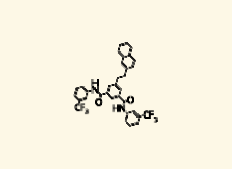 O=C(Nc1cccc(C(F)(F)F)c1)c1cc(CCc2ccc3ccccc3c2)cc(C(=O)Nc2cccc(C(F)(F)F)c2)c1